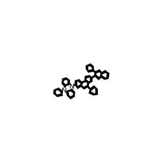 c1ccc(-c2cc3ccccc3cc2-c2ccc3c(c2)c(-c2ccccc2)cc2cc(N4c5ccccc5N(c5ccccc5)c5ccccc54)ccc23)cc1